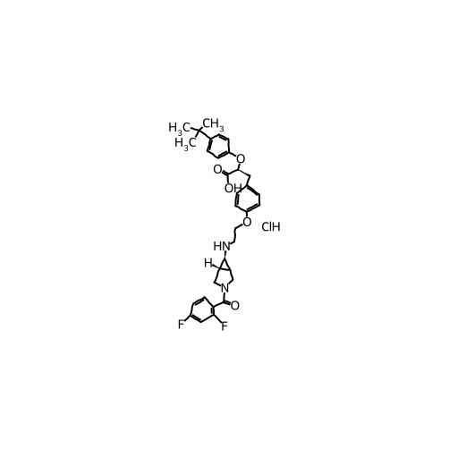 CC(C)(C)c1ccc(O[C@@H](Cc2ccc(OCCN[C@H]3C4CN(C(=O)c5ccc(F)cc5F)C[C@@H]43)cc2)C(=O)O)cc1.Cl